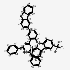 FC(F)(F)c1ccc2c(c1)c1ccccc1n2-c1ccc(-c2ccc3sc4ccccc4c3c2)cc1-c1nc(-c2ccccc2)nc(-c2ccccc2)n1